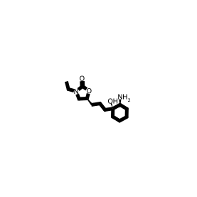 CCN1C[C@H](CCC[C@]2(O)CCCC[C@@H]2N)OC1=O